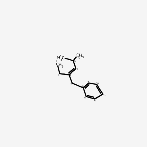 CCC(=C[C](C)C)Cc1ccccc1